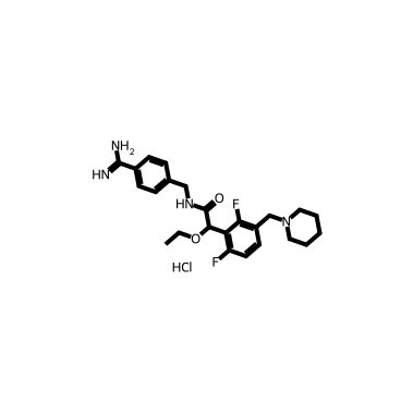 CCOC(C(=O)NCc1ccc(C(=N)N)cc1)c1c(F)ccc(CN2CCCCC2)c1F.Cl